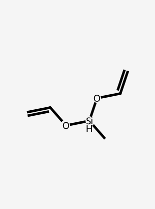 C=CO[SiH](C)OC=C